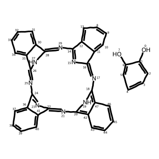 Oc1ccccc1O.c1ccc2c(c1)-c1nc-2nc2[nH]c(nc3nc(nc4[nH]c(n1)c1ccccc41)-c1ccccc1-3)c1ccccc21